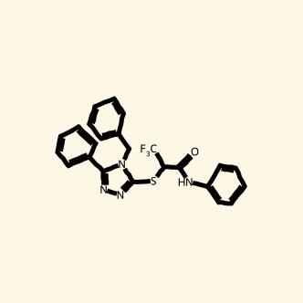 O=C(Nc1ccccc1)C(Sc1nnc(-c2ccccc2)n1Cc1ccccc1)C(F)(F)F